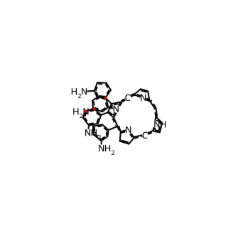 Nc1cccc(-c2c(-c3cccc(N)c3)c3c(-c4cccc(N)c4)c4nc(cc5ccc(cc6nc(cc2n3-c2cccc(N)c2)C=C6)[nH]5)C=C4)c1